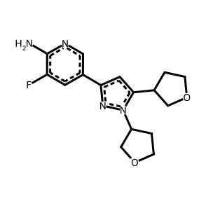 Nc1ncc(-c2cc(C3CCOC3)n(C3CCOC3)n2)cc1F